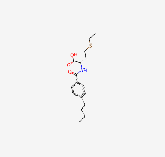 CCCCc1ccc(C(=O)N[C@@H](CCSCC)C(=O)O)cc1